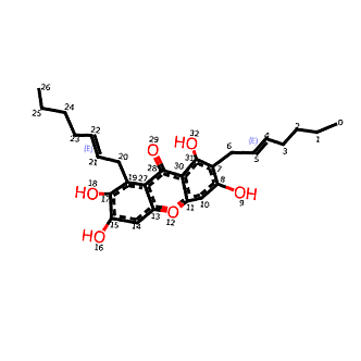 CCCC/C=C/Cc1c(O)cc2oc3cc(O)c(O)c(C/C=C/CCCC)c3c(=O)c2c1O